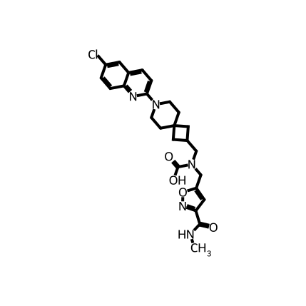 CNC(=O)c1cc(CN(CC2CC3(CCN(c4ccc5cc(Cl)ccc5n4)CC3)C2)C(=O)O)on1